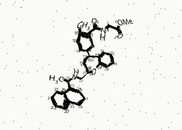 COC(=O)CNC(=O)c1cc([C@@H]2C[C@H](CNC(C)c3cccc4ccccc34)Oc3ccccc32)ccc1C